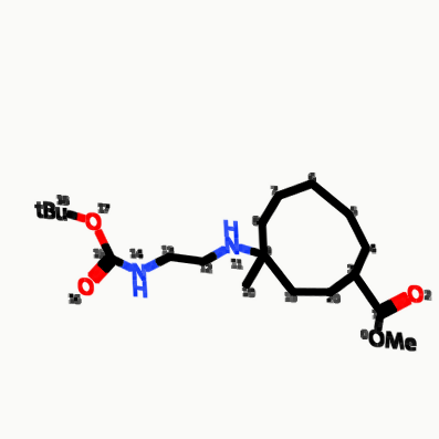 COC(=O)C1CCCCCC(C)(NCCNC(=O)OC(C)(C)C)CC1